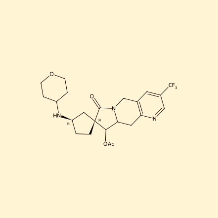 CC(=O)OC1C2Cc3ncc(C(F)(F)F)cc3CN2C(=O)[C@]12CC[C@@H](NC1CCOCC1)C2